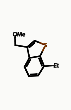 CCc1cccc2c(COC)csc12